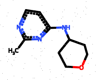 Cc1nccc(NC2CCOCC2)n1